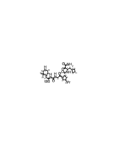 CC(C)C1C[C@@H](C(=O)NC(CC2CCC2)C(=O)C(N)=O)N(C(=O)CNC(=O)N[C@H](CN2CCNCC2(C)C)C(C)(C)C)C1